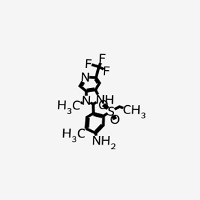 CCS(=O)(=O)c1cc(N)c(C)cc1C1Nc2cc(C(F)(F)F)ncc2N1C